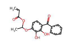 C=CC(=O)OC(C)Oc1ccc(C(=O)c2ccccc2)c(O)c1O